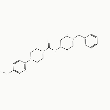 O=C(NC1CCN(Cc2ccccc2)CC1)N1CCN(c2ccc(OC(F)(F)F)cc2)CC1